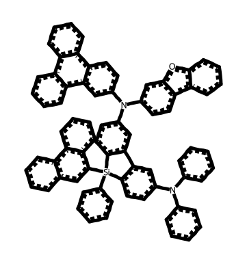 c1ccc(N(c2ccccc2)c2ccc3c(c2)-c2cc(N(c4ccc5c(c4)oc4ccccc45)c4ccc5c6ccccc6c6ccccc6c5c4)ccc2[Si]3(c2ccccc2)c2cc3ccccc3c3ccccc23)cc1